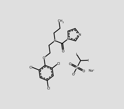 CCCN(CCOc1c(Cl)cc(Cl)cc1Cl)C(=O)n1ccnc1.O=S(=O)([O-])C(I)I.[Na+]